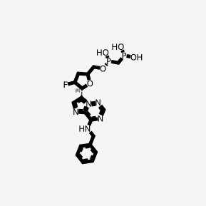 OP(O)CP(O)OCC1CC(F)[C@@H](c2cnc3c(NCc4ccccc4)ncnn23)O1